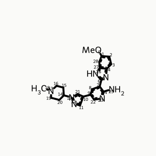 COc1ccc2nc(-c3cc(-c4cnn(C5CCN(C)CC5)c4)cnc3N)[nH]c2c1